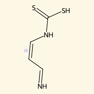 N=C/C=C\NC(=S)S